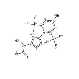 CN(C(=O)O)c1ccc(-c2c(C(F)(F)F)cc(Br)cc2C(F)(F)F)o1